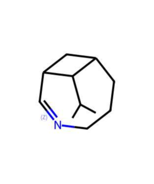 CC(C)C1C2/C=N\CCCC1C2